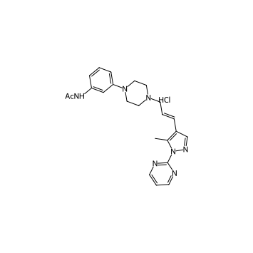 CC(=O)Nc1cccc(N2CCN(C/C=C/c3cnn(-c4ncccn4)c3C)CC2)c1.Cl